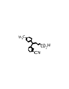 Cc1ccc(/C(=C/C=C/C(=O)O)c2cccc(C#N)c2)cc1